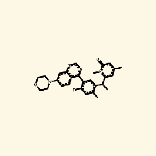 Cc1cc(C(C)c2cc(-c3ncnc4cc(N5CCOCC5)ccc34)c(F)cc2C)n(C)c(=O)c1